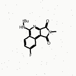 CN1C(=O)c2nc(NC(C)(C)C)c3ccc(F)cc3c2C1=O